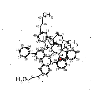 CCCCc1ccc2c(c1)-c1cc(-c3ccccc3)cc3c1B(C1=C4Oc5ccccc5C4(C)C4=C5C(C)(C=CC4C)c4cc(CCCC)ccc4N3C15C)N2c1ccccc1